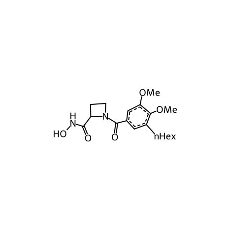 CCCCCCc1cc(C(=O)N2CCC2C(=O)NO)cc(OC)c1OC